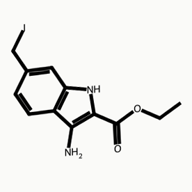 CCOC(=O)c1[nH]c2cc(CI)ccc2c1N